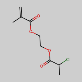 C=C(C)C(=O)OCCOC(=O)C(C)Cl